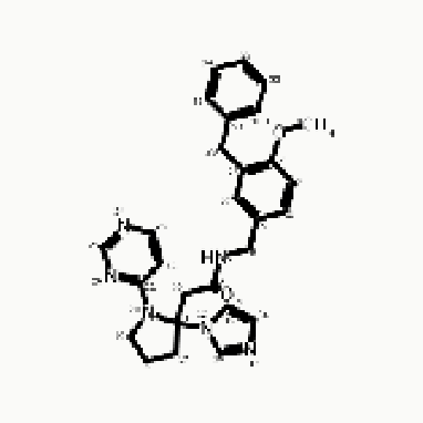 COc1ccc(CNC(=O)CC2(n3ccnc3)CCCN2c2ccncn2)cc1Cc1ccccc1